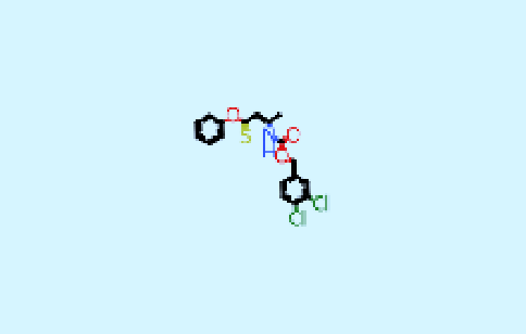 CC(=CC(=S)Oc1ccccc1)NC(=O)OCc1ccc(Cl)c(Cl)c1